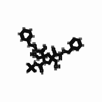 CC(C)(C)OC(=O)N1CC(CO)(C(=O)NOCc2ccccc2)CC1(CO)C(=O)NOCc1ccccc1